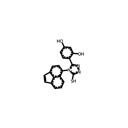 Oc1ccc(-c2nnc(S)n2-c2ccc3c4c(cccc24)C=C3)c(O)c1